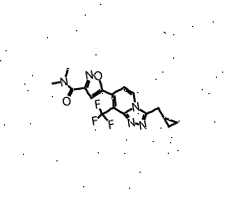 CN(C)C(=O)c1cc(-c2ccn3c(CC4CC4)nnc3c2C(F)(F)F)on1